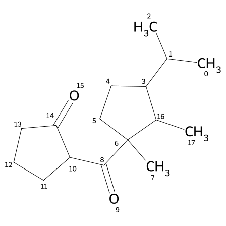 CC(C)C1CCC(C)(C(=O)C2CCCC2=O)C1C